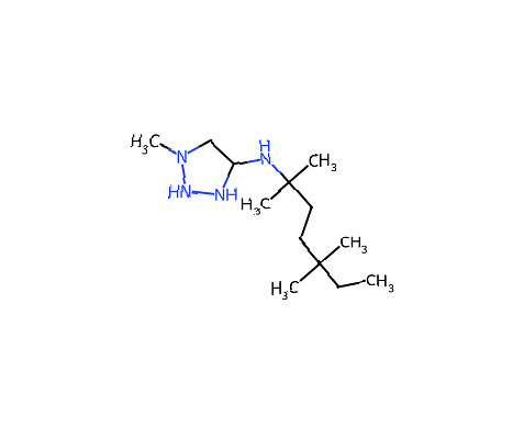 CCC(C)(C)CCC(C)(C)NC1CN(C)NN1